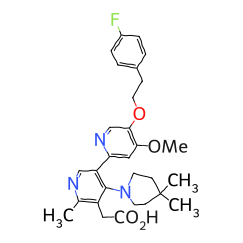 COc1cc(-c2cnc(C)c(CC(=O)O)c2N2CCC(C)(C)CC2)ncc1OCCc1ccc(F)cc1